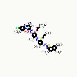 COc1cc(N=Nc2cc(OCCCS(=O)(=O)O)c(N=Nc3c(C)c(C#N)c4nc5cc(Cl)c(S(=O)(=O)O)cc5n4c3O)cc2C)c(SCCCS(=O)(=O)O)cc1N=Nc1nc2c(S(=O)(=O)O)cc3c(S(=O)(=O)O)cc(S(=O)(=O)O)cc3c2s1